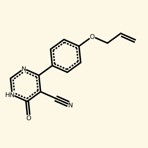 C=CCOc1ccc(-c2nc[nH]c(=O)c2C#N)cc1